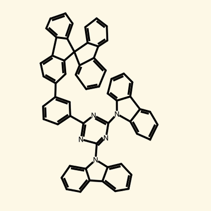 c1cc(-c2ccc3c(c2)C2(c4ccccc4-c4ccccc42)c2ccccc2-3)cc(-c2nc(-n3c4ccccc4c4ccccc43)nc(-n3c4ccccc4c4ccccc43)n2)c1